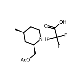 CC(=O)OC[C@H]1C[C@@H](C)CCN1.O=C(O)C(F)(F)F